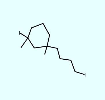 CC1(I)CCCC(I)(CCCCI)C1